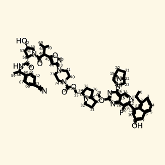 CCc1cccc2cc(O)cc(-c3ncc4c(N5CC6CCC(C5)N6)nc(OC[C@]56CCCN5[C@H](COC(=O)N5CCN(c7cc(C(C(=O)N8C[C@H](O)C[C@H]8C(=O)NC(C)c8ccc(C#N)cc8)C(C)C)on7)CC5)CC6)nc4c3F)c12